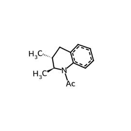 CC(=O)N1c2ccccc2C[C@@H](C)[C@@H]1C